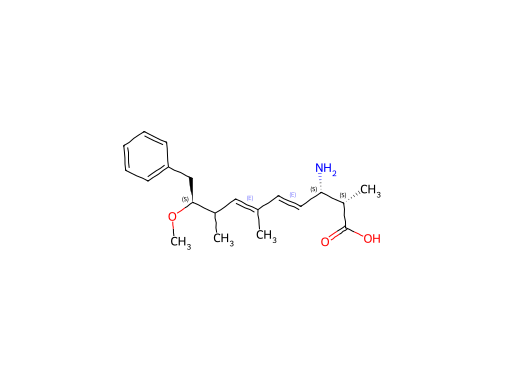 CO[C@@H](Cc1ccccc1)C(C)/C=C(C)/C=C/[C@H](N)[C@H](C)C(=O)O